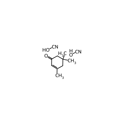 CC1=CC(=O)CC(C)(C)C1.N#CO.N#CO